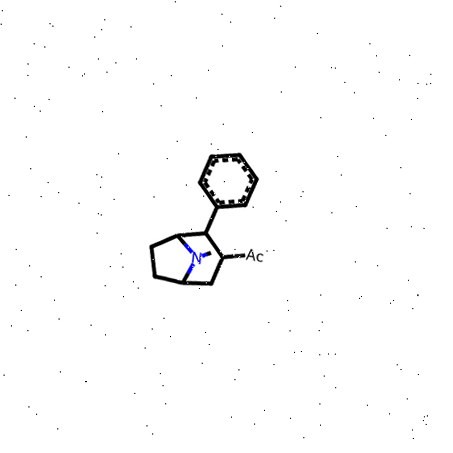 CC(=O)C1CC2CCC(C1c1ccccc1)N2C